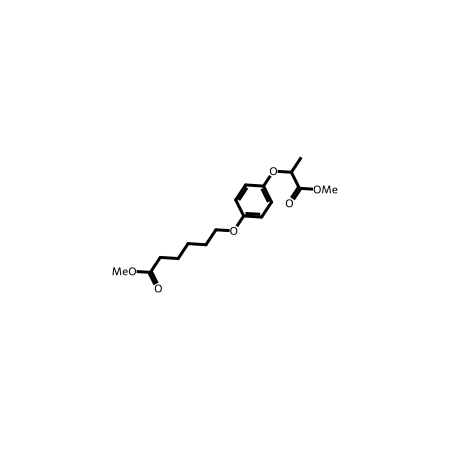 COC(=O)CCCCCOc1ccc(OC(C)C(=O)OC)cc1